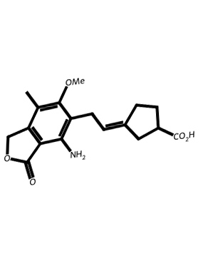 COc1c(C)c2c(c(N)c1CC=C1CCC(C(=O)O)C1)C(=O)OC2